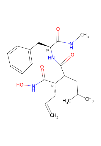 C=CC[C@H](C(=O)NO)C(CC(C)C)C(=O)N[C@@H](Cc1ccccc1)C(=O)NC